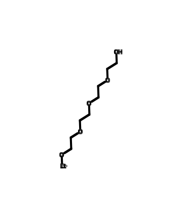 C[CH]OCCOCCOCCOCCO